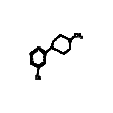 CCc1ccnc(N2CCN(C)CC2)c1